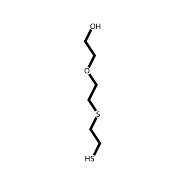 OCCOCCSCCS